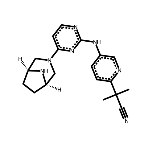 CC(C)(C#N)c1ccc(Nc2nccc(N3C[C@H]4CC[C@@H](C3)N4)n2)cn1